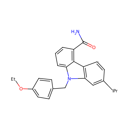 CCOc1ccc(Cn2c3cc(C(C)C)c[c]c3c3c(C(N)=O)cccc32)cc1